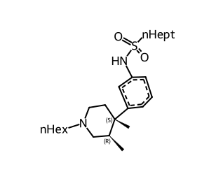 CCCCCCCS(=O)(=O)Nc1cccc([C@@]2(C)CCN(CCCCCC)C[C@@H]2C)c1